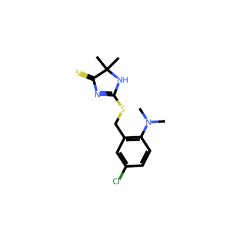 CN(C)c1ccc(Cl)cc1CSC1=NC(=S)C(C)(C)N1